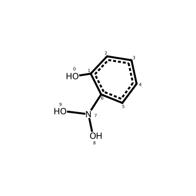 Oc1ccccc1N(O)O